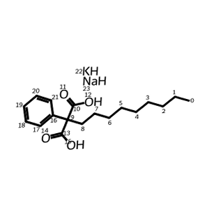 CCCCCCCCCC(C(=O)O)(C(=O)O)c1ccccc1.[KH].[NaH]